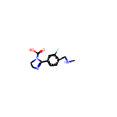 CNCc1ccc(C2=NCCN2C(=O)O)cc1F